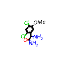 COc1cc(C(N)C(N)=O)c(Cl)cc1Cl